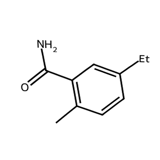 [CH2]Cc1ccc(C)c(C(N)=O)c1